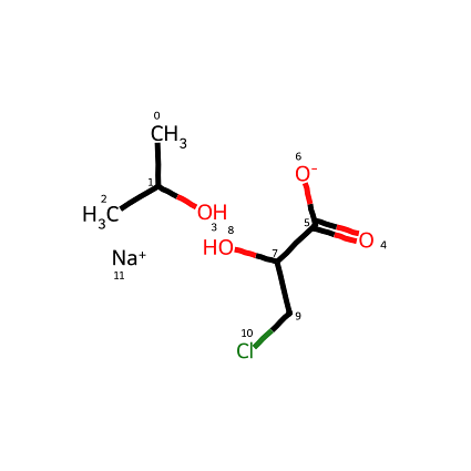 CC(C)O.O=C([O-])C(O)CCl.[Na+]